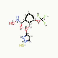 O=C(NO)c1cccc(OC(F)(F)F)c1COc1ccn(S)n1